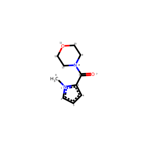 Cn1cccc1C(=O)N1CCOCC1